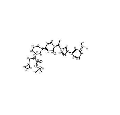 CC(n1cc(-c2cncc(N(C)C)c2)nn1)n1ccc(N2CCC[C@@H](N(CC3CCC3)C(=O)OC(C)(C)C)C2)cc1=O